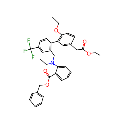 CCOC(=O)Cc1ccc(OCC)c(-c2ccc(C(F)(F)F)cc2CN(CC)c2ccccc2C(=O)OCc2ccccc2)c1